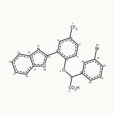 O=C(O)C(Oc1ccc(C(F)(F)F)cc1-c1nc2ccccc2o1)c1cccc(Br)c1